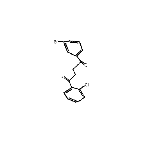 O=C(CCC(=O)c1ccccc1Cl)c1cccc(Br)c1